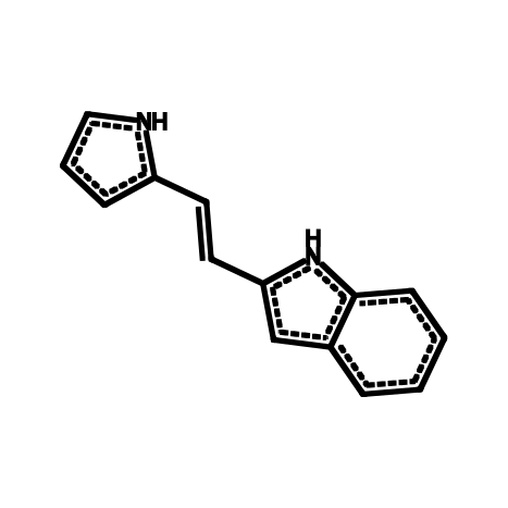 C(=Cc1cc2ccccc2[nH]1)c1ccc[nH]1